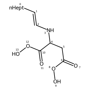 CCCCCCCC=CNC(CC(=O)OO)C(=O)OO